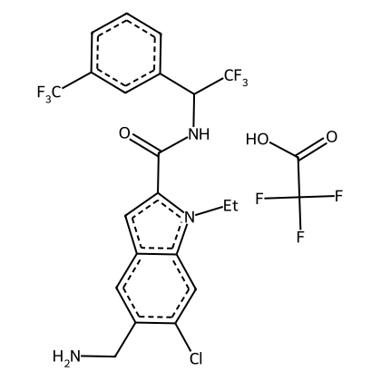 CCn1c(C(=O)NC(c2cccc(C(F)(F)F)c2)C(F)(F)F)cc2cc(CN)c(Cl)cc21.O=C(O)C(F)(F)F